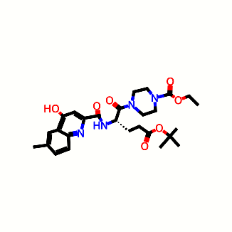 CCOC(=O)N1CCN(C(=O)[C@H](CCC(=O)OC(C)(C)C)NC(=O)c2cc(O)c3cc(C)ccc3n2)CC1